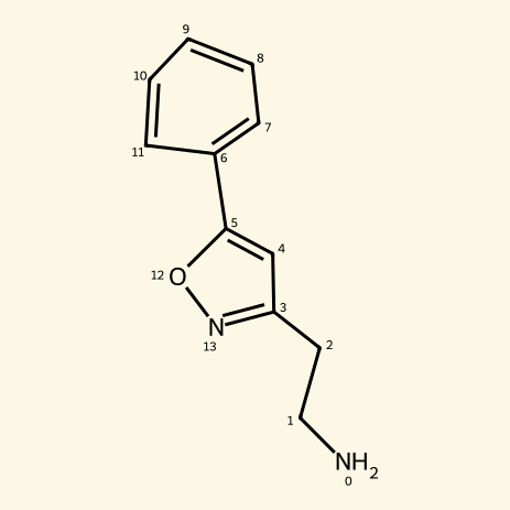 NCCc1cc(-c2ccccc2)on1